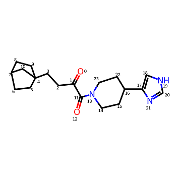 O=C(CCC12CCC(CC1)C2)C(=O)N1CCC(c2c[nH]cn2)CC1